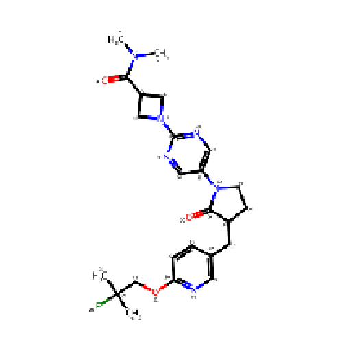 CN(C)C(=O)C1CN(c2ncc(N3CCC(Cc4ccc(OCC(C)(C)F)nc4)C3=O)cn2)C1